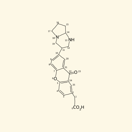 O=C(O)Cc1ccc2oc3ccc(C4CNC5CCCN5C4)cc3c(=O)c2c1